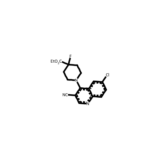 CCOC(=O)C1(F)CCN(c2c(C#N)cnc3ccc(Cl)cc23)CC1